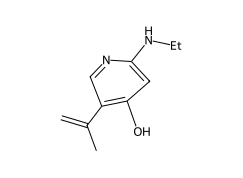 C=C(C)c1cnc(NCC)cc1O